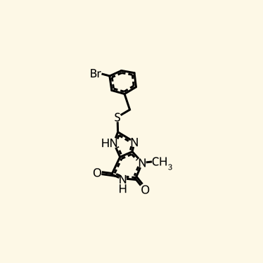 Cn1c(=O)[nH]c(=O)c2[nH]c(SCc3cccc(Br)c3)nc21